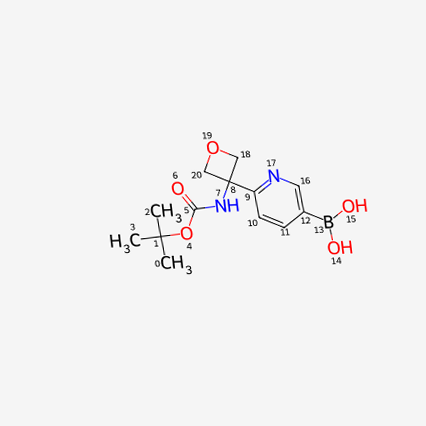 CC(C)(C)OC(=O)NC1(c2ccc(B(O)O)cn2)COC1